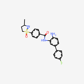 CC1CCS(=O)(c2ccc(C(=O)Nc3cc(-c4ccc(F)cc4)ccc3N)cc2)=N1